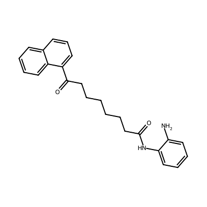 Nc1ccccc1NC(=O)CCCCCCC(=O)c1cccc2ccccc12